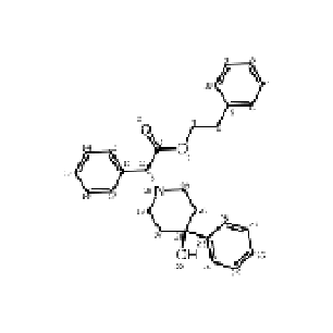 O=C(OCCc1ccccc1)[C@@H](c1ccccc1)N1CCC(O)(c2ccccc2)CC1